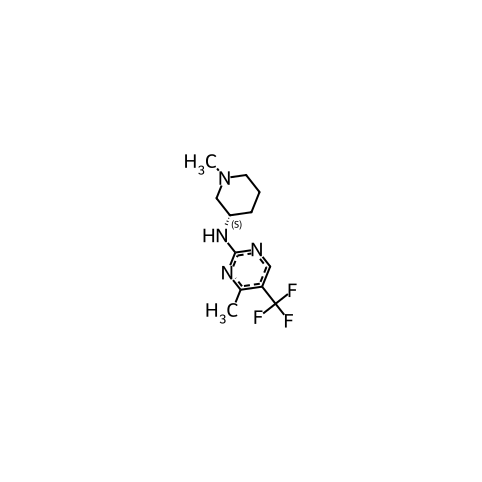 Cc1nc(N[C@H]2CCCN(C)C2)ncc1C(F)(F)F